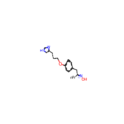 CCC/C(Cc1ccc(OCCCc2c[nH]cn2)cc1)=N\O